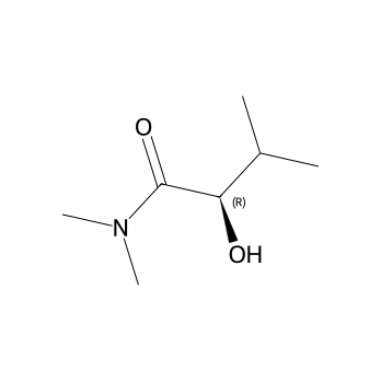 CC(C)[C@@H](O)C(=O)N(C)C